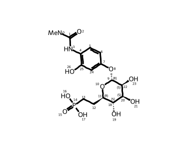 CNC(=O)Nc1ccc(O[C@H]2O[C@H](CCP(=O)(O)O)[C@@H](O)[C@H](O)[C@@H]2O)cc1O